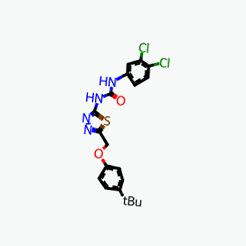 CC(C)(C)c1ccc(OCc2nnc(NC(=O)Nc3ccc(Cl)c(Cl)c3)s2)cc1